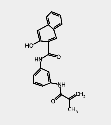 C=C(C)C(=O)Nc1cccc(NC(=O)c2cc3ccccc3cc2O)c1